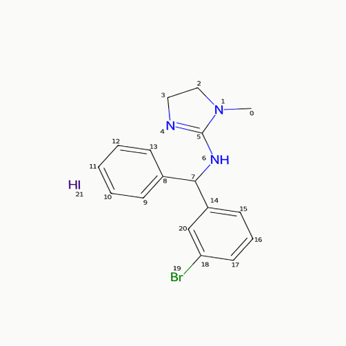 CN1CCN=C1NC(c1ccccc1)c1cccc(Br)c1.I